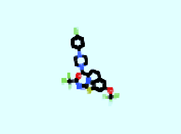 O=C(/N=c1/sc2cc(OC(F)(F)F)cc3c2n1C(CN1CCN(c2ccc(F)cc2)CC1)CC3)C(F)(F)F